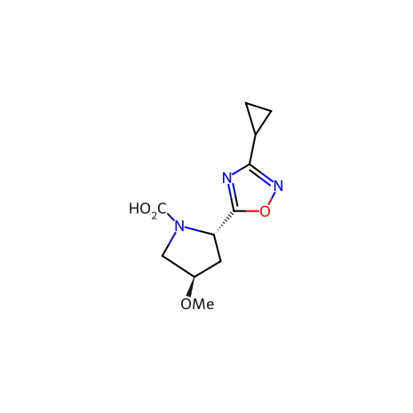 CO[C@@H]1C[C@@H](c2nc(C3CC3)no2)N(C(=O)O)C1